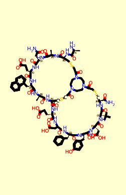 C[C@H](N)C(=O)N[C@H]1CSCC(=O)N2CCN3CCN(CC2)C(=O)CSC[C@@H](NC(=O)[C@@H](C)NC(=O)[C@H](Cc2cccc4ccccc24)NC(=O)[C@H](CCC(=O)O)NC(=O)[C@H](CC(N)=O)NC(=O)[C@@H](C)NC1=O)C(=O)N[C@@H](CCC(=O)O)C(=O)NC(CC(=O)O)C(=O)N[C@@H](Cc1ccccc1)C(=O)N[C@@H](Cc1ccc(O)cc1)C(O)N[C@@H](CC(=O)O)C(=O)N[C@@H](C(C)(C)C)C(=O)N[C@H](C(N)=O)CSCC3=O